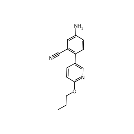 CCCOc1ccc(-c2ccc(N)cc2C#N)cn1